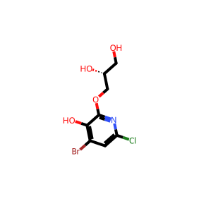 OC[C@@H](O)COc1nc(Cl)cc(Br)c1O